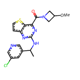 COC1CN(C(=O)c2nc(NC(C)c3cncc(Cl)c3)nc3ccsc23)C1